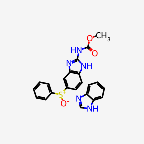 COC(=O)Nc1nc2cc([S+]([O-])c3ccccc3)ccc2[nH]1.c1ccc2[nH]cnc2c1